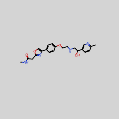 CNC(=O)Cc1nc(-c2ccc(OCCNCC(O)c3ccc(C)nc3)cc2)co1